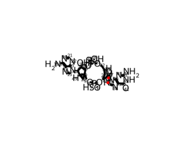 CO[C@H]1[C@H]2O[P@](=O)(S)OCC34C[C@@H]3[C@@H](n3cnc5c(N)ncnc53)[C@H](O)[C@@H]4OP(=O)(O)OC[C@H]1O[C@H]2n1cnc2c(=O)[nH]c(N)nc21